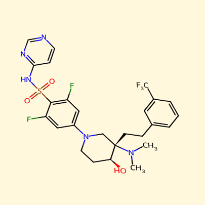 CN(C)[C@@]1(CCc2cccc(C(F)(F)F)c2)CN(c2cc(F)c(S(=O)(=O)Nc3ccncn3)c(F)c2)CC[C@@H]1O